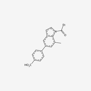 CCC(=O)n1ccc2cc(-c3ccc(C(=O)O)cc3)cc(C)c21